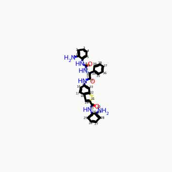 Nc1ccccc1NC(=O)N[C@@H](C(=O)Nc1ccc2cc(C(=O)Nc3ccccc3N)sc2c1)c1ccccc1